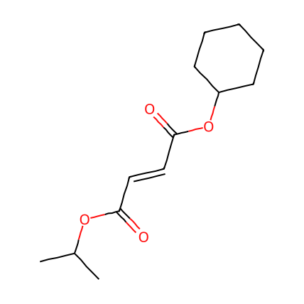 CC(C)OC(=O)C=CC(=O)OC1CCCCC1